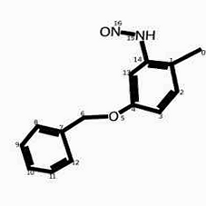 Cc1ccc(OCc2ccccc2)cc1NN=O